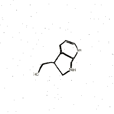 OCC1CNC2NC=CCC12